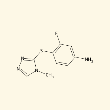 Cn1cnnc1Sc1ccc(N)cc1F